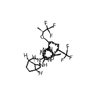 Cc1nnc(N2C[C@H]3CC[C@@H](C2)[C@@H]3Nc2nc3c(O[C@@H](C)C(F)(F)F)ccc(C(F)(F)F)n3n2)o1